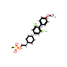 CS(=O)(=O)OCC[C@H]1CC[C@H](c2cc(F)c(-c3ccc(OC(F)(F)F)cc3)c(F)c2)CC1